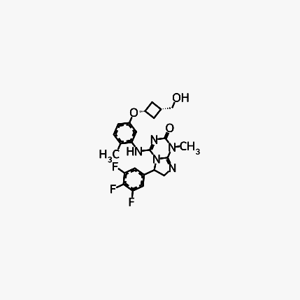 Cc1ccc(O[C@H]2C[C@@H](CO)C2)cc1NC1=NC(=O)N(C)C2=NCC(c3cc(F)c(F)c(F)c3)N12